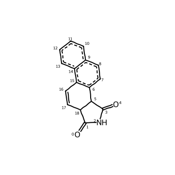 O=C1NC(=O)C2c3ccc4ccccc4c3C=CC12